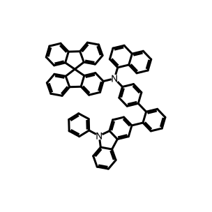 c1ccc(-n2c3ccccc3c3cc(-c4ccccc4-c4ccc(N(c5ccc6c(c5)C5(c7ccccc7-c7ccccc75)c5ccccc5-6)c5cccc6ccccc56)cc4)ccc32)cc1